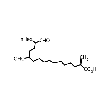 C=C(CCCCCCCCCC(C=O)CCC(C=O)CCCCCC)C(=O)O